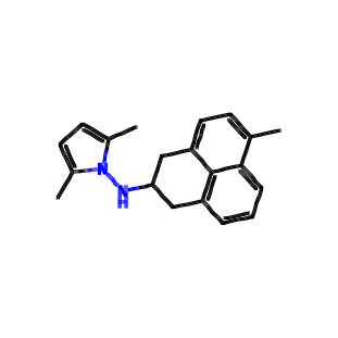 Cc1ccc2c3c(cccc13)CC(Nn1c(C)ccc1C)C2